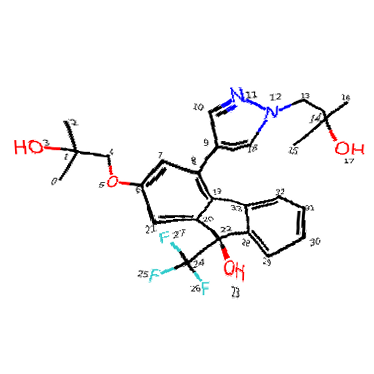 CC(C)(O)COc1cc(-c2cnn(CC(C)(C)O)c2)c2c(c1)[C@@](O)(C(F)(F)F)c1ccccc1-2